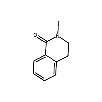 O=C1c2ccccc2CCN1I